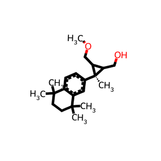 COCC1C(CO)[C@@]1(C)c1ccc2c(c1)C(C)(C)CCC2(C)C